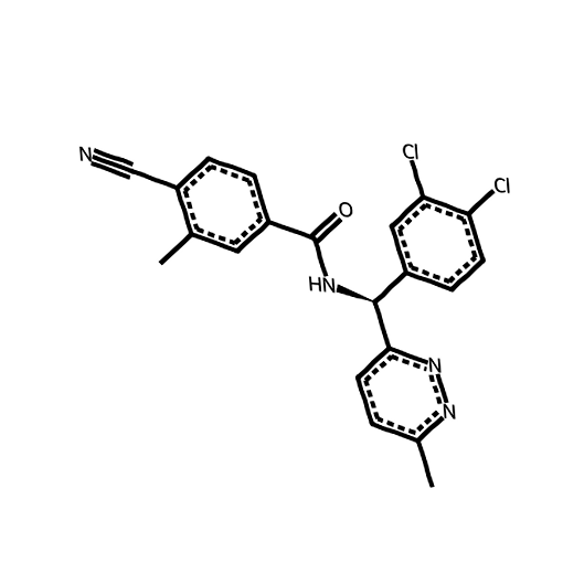 Cc1ccc([C@@H](NC(=O)c2ccc(C#N)c(C)c2)c2ccc(Cl)c(Cl)c2)nn1